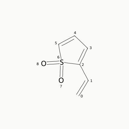 C=CC1=CC=CS1(=O)=O